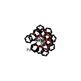 [Cl][Pd]([PH](c1ccccc1)(c1ccccc1)c1ccccc1)([PH](c1ccccc1)(c1ccccc1)c1ccccc1)([PH](c1ccccc1)(c1ccccc1)c1ccccc1)([PH](c1ccccc1)(c1ccccc1)c1ccccc1)([PH](c1ccccc1)(c1ccccc1)c1ccccc1)[PH](c1ccccc1)(c1ccccc1)c1ccccc1.[Pd]